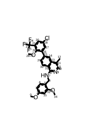 COc1ccc(CNc2nnc(C)c3cc(-c4cc(Cl)cc(C(F)(F)F)c4OC)ccc23)c(OC)c1